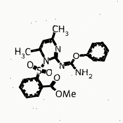 COC(=O)c1ccccc1S(=O)(=O)N1C(N=C(N)Oc2ccccc2)=NC(C)=CC1C